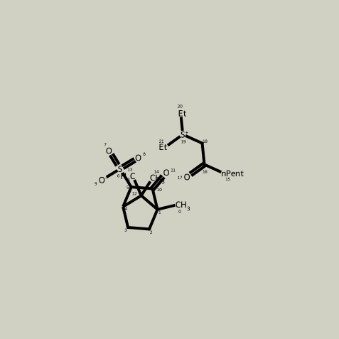 CC12CCC(C(S(=O)(=O)[O-])C1=O)C2(C)C.CCCCCC(=O)C[S+](CC)CC